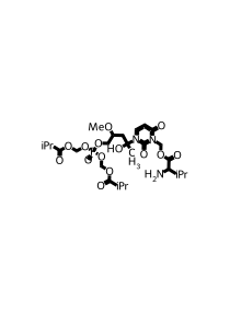 COC(COP(=O)(OCOC(=O)C(C)C)OCOC(=O)C(C)C)CC(C)(O)n1ccc(=O)n(COC(=O)C(N)C(C)C)c1=O